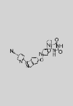 N#Cc1ccc(-n2ncc3cc(Oc4ccc(N5CCCC56C(=O)NC(=O)NC6=O)cn4)ccc32)nc1